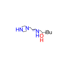 CCC(C)C(O)CN/C=C/CN1CCNCC1